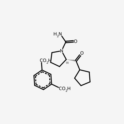 NC(=O)N1CCC[C@H]1C(=O)C1CCCC1.O=C(O)c1cccc(C(=O)O)c1